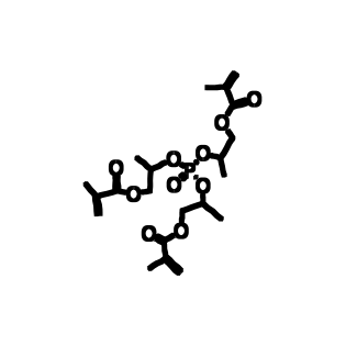 C=C(C)C(=O)OCC(C)OP(=O)(OC(C)COC(=O)C(=C)C)OC(C)COC(=O)C(=C)C